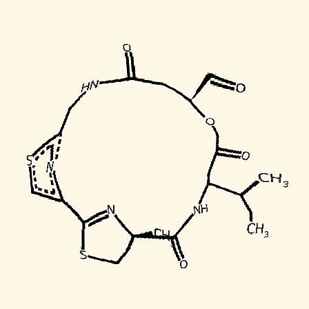 CC(C)C1NC(=O)[C@]2(C)CSC(=N2)c2csc(n2)CNC(=O)C[C@@H](C=O)OC1=O